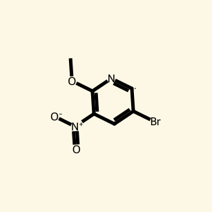 COc1n[c]c(Br)cc1[N+](=O)[O-]